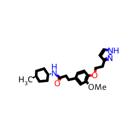 COc1cc(CCC(=O)N[C@H]2CC[C@H](C)CC2)ccc1OCCc1cc[nH]n1